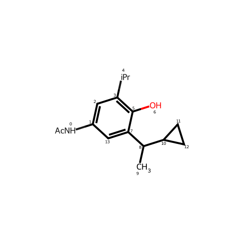 CC(=O)Nc1cc(C(C)C)c(O)c(C(C)C2CC2)c1